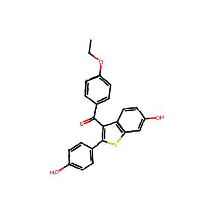 CCOc1ccc(C(=O)c2c(-c3ccc(O)cc3)sc3cc(O)ccc23)cc1